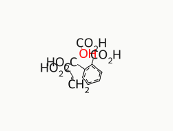 C=CC(=O)O.O=C(O)O.O=C(O)c1ccccc1C(=O)O